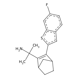 CC(C)(N)C1=C(c2cc3ccc(F)cc3s2)C2CCC1C2